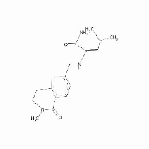 CC(C)C[C@@H](NCc1ccc2c(c1)CCN(C)C2=O)C(N)=O